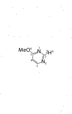 [2H]c1nccc(OC)n1